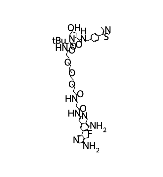 Cc1ncsc1-c1ccc(CNC(=O)[C@@H]2CC(O)CN2C(=O)[C@@H](NC(=O)CCOCCOCCOCCC(=O)NCCC(=O)Nc2cc3cc(-c4cncc(N)c4C)c(F)c(N)c3cn2)C(C)(C)C)cc1